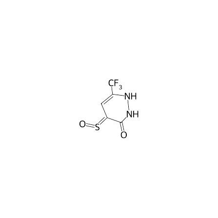 O=S=c1cc(C(F)(F)F)[nH][nH]c1=O